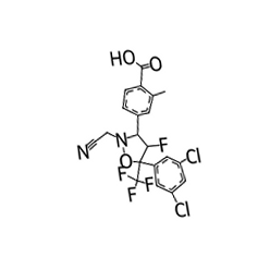 Cc1cc(C2C(F)C(c3cc(Cl)cc(Cl)c3)(C(F)(F)F)ON2CC#N)ccc1C(=O)O